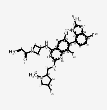 C=CC(=O)N1CC(Nc2nc(OCC3CC(F)CN3C)nc3c(F)c(-c4ccc(F)c5sc(N)nc45)c(Cl)cc23)C1